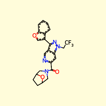 O=C(c1cc2c(cn1)c(-c1coc3ccccc13)nn2CC(F)(F)F)N1CC2CCC(C1)O2